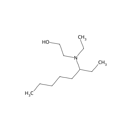 CCCCCC(CC)N(CC)CCO